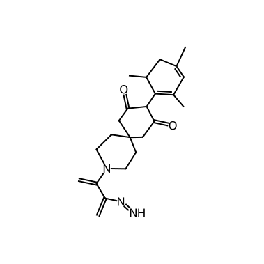 C=C(N=N)C(=C)N1CCC2(CC1)CC(=O)C(C1=C(C)C=C(C)CC1C)C(=O)C2